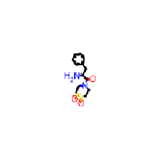 N[C@@H](Cc1ccccc1)C(=O)N1CCS(=O)(=O)CC1